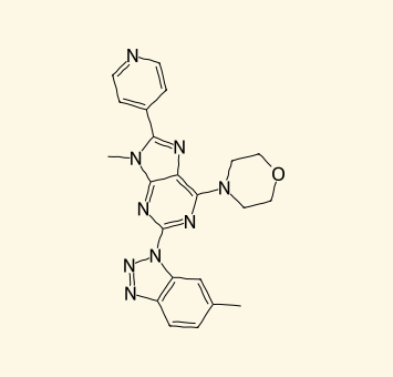 Cc1ccc2nnn(-c3nc(N4CCOCC4)c4nc(-c5ccncc5)n(C)c4n3)c2c1